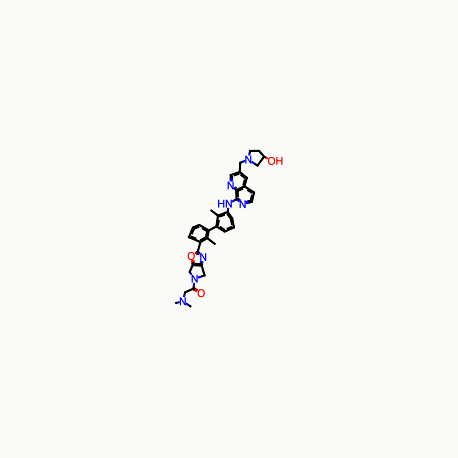 Cc1c(Nc2nccc3cc(CN4CCC(O)C4)cnc23)cccc1-c1cccc(-c2nc3c(o2)CN(C(=O)CN(C)C)C3)c1C